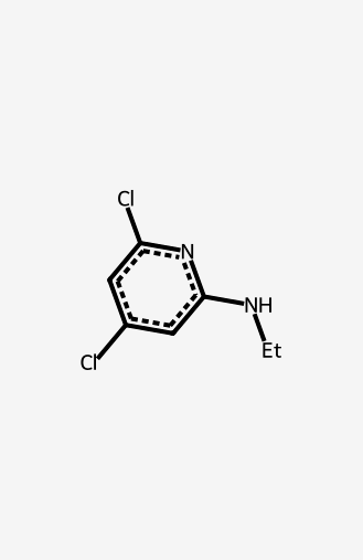 CCNc1cc(Cl)cc(Cl)n1